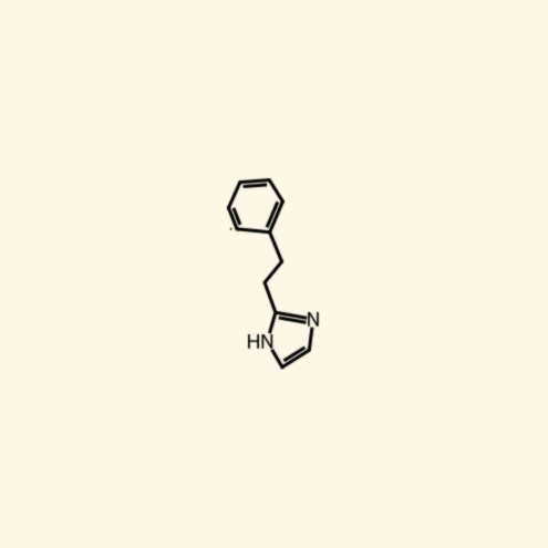 [c]1ccccc1CCc1ncc[nH]1